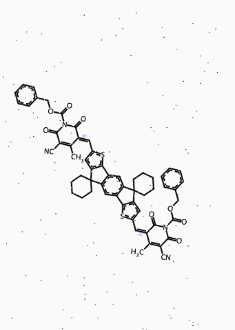 CC1=C(C#N)C(=O)N(C(=O)OCc2ccccc2)C(=O)/C1=C\c1cc2c(s1)-c1cc3c(cc1C21CCCCC1)-c1sc(/C=C2/C(=O)N(C(=O)OCc4ccccc4)C(=O)C(C#N)=C2C)cc1C31CCCCC1